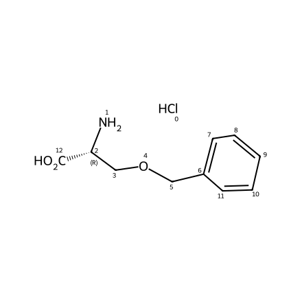 Cl.N[C@H](COCc1ccccc1)C(=O)O